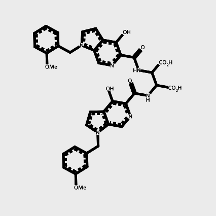 COc1cccc(Cn2ccc3c(O)c(C(=O)NC(C(=O)O)C(NC(=O)c4ncc5c(ccn5Cc5ccccc5OC)c4O)C(=O)O)ncc32)c1